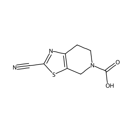 N#Cc1nc2c(s1)CN(C(=O)O)CC2